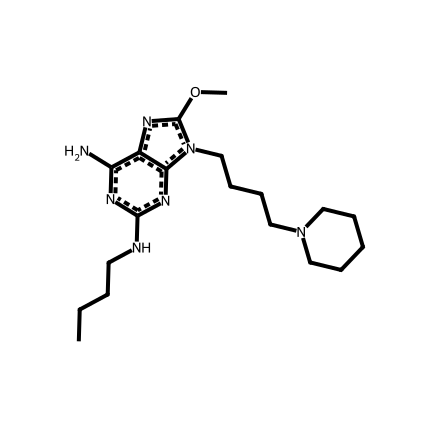 CCCCNc1nc(N)c2nc(OC)n(CCCCN3CCCCC3)c2n1